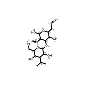 CC(C)C1C(O)C(CO)OC(OC2C(O)C(CN=O)OC(O)C2N=O)C1O